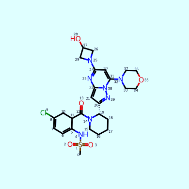 CS(=O)(=O)NC1=CC=C(Cl)CC1C(=O)N1CCCC[C@H]1c1cc2nc(N3CC(O)C3)cc(N3CCOCC3)n2n1